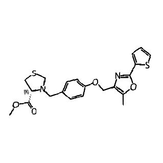 COC(=O)[C@@H]1CSCN1Cc1ccc(OCc2nc(-c3cccs3)oc2C)cc1